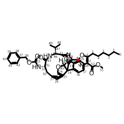 CCCCCCc1oc(-c2nc3oc2C24c5ccccc5N[C@H]2Oc2ccc(cc24)C[C@H](NC(=O)OCc2ccccc2)C(=O)N[C@H]3C(C)C)nc1C(=O)OC